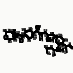 C=CC(C)C1=C(N[C@@H](C)/C=C\C)CN(CC(O)CNC(=O)c2ccc(C(=O)CN3C4CCC3COC4)cc2)CC1